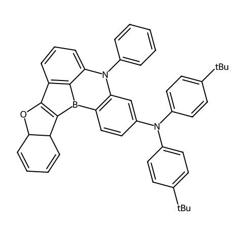 CC(C)(C)c1ccc(N(c2ccc(C(C)(C)C)cc2)c2ccc3c(c2)N(c2ccccc2)c2cccc4c2B3C2=C4OC3C=CC=CC23)cc1